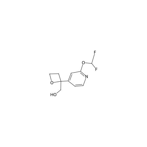 OCC1(c2ccnc(OC(F)F)c2)CCO1